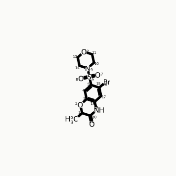 CC1Oc2cc(S(=O)(=O)N3CCOCC3)c(Br)cc2NC1=O